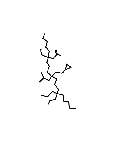 C=C(C)CC(CF)(CCCCC)CCCC(CCCC(CCC)(CCF)CCCCC)(CCC1CC1)CC(=C)C